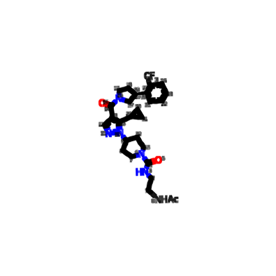 CC(=O)NCCNC(=O)N1CCC(n2ncc(C(=O)N3CC[C@@H](c4ccccc4C(F)(F)F)C3)c2C2CC2)CC1